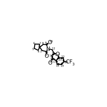 O=C1CC2(CCCC2)CC(=O)N1Cc1cc(=O)c2ccc(C(F)(F)F)cc2o1